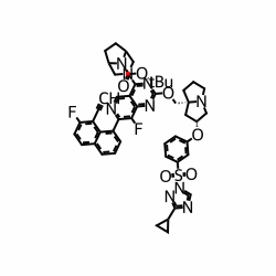 C#Cc1c(F)ccc2cccc(-c3ncc4c(N5CC6CCC(C5)N6C(=O)OC(C)(C)C)nc(OC[C@]56CCCN5C[C@H](Oc5cccc(S(=O)(=O)n7cnc(C8CC8)n7)c5)C6)nc4c3F)c12